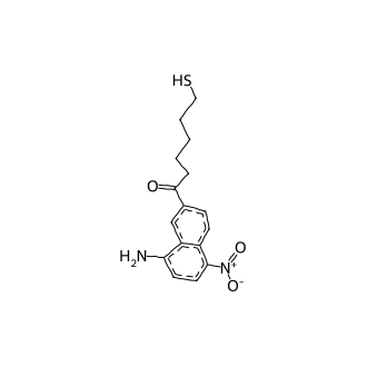 Nc1ccc([N+](=O)[O-])c2ccc(C(=O)CCCCCS)cc12